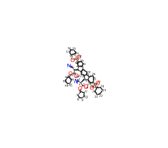 N#C/C(C(=O)Oc1ccccc1)=C1/c2cc(S(=O)(=O)c3ccccc3)ccc2-c2cc3c(cc21)/C(=C(/C#N)C(=O)Oc1ccccc1)c1cc(S(=O)(=O)c2ccccc2)ccc1-3